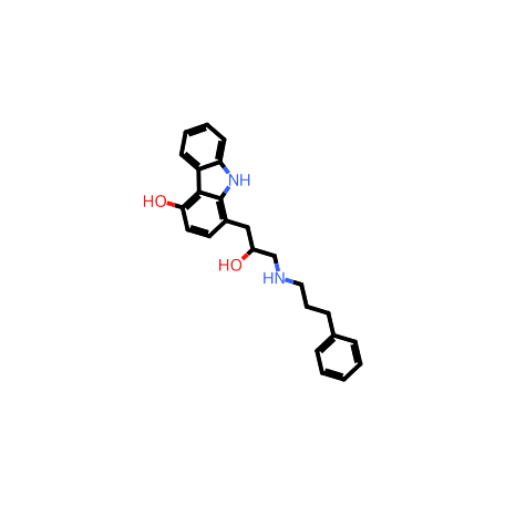 Oc1ccc(CC(O)CNCCCc2ccccc2)c2[nH]c3ccccc3c12